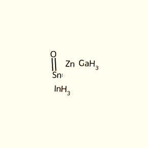 [GaH3].[InH3].[O]=[Sn].[Zn]